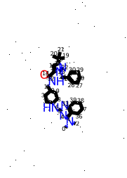 CN(C)c1nc(NC2CCC(CNC(=O)c3cc(C(C)(C)C)nn3Cc3ccccc3)CC2)nc2c1CCCC2